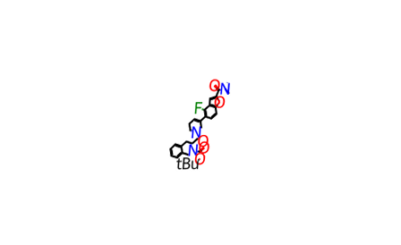 CN(C)C(=O)c1cc2c(F)c(C3=CCCN(C(=O)C4Cc5ccccc5CN4C(=O)OC(C)(C)C)C3)ccc2o1